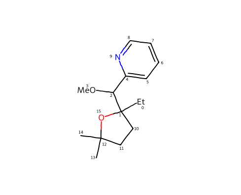 CCC1(C(OC)c2ccccn2)CCC(C)(C)O1